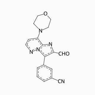 N#Cc1cccc(-c2c(C=O)nc3c(N4CCOCC4)ccnn23)c1